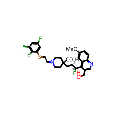 COc1ccc2ncc(CO)c([C@@H](F)CCC3(C(=O)O)CCN(CCSc4cc(F)cc(F)c4F)CC3)c2c1